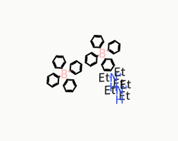 CC[NH+](CC)CC.CC[NH+](CC)CC.c1ccc([B-](c2ccccc2)(c2ccccc2)c2ccccc2)cc1.c1ccc([B-](c2ccccc2)(c2ccccc2)c2ccccc2)cc1